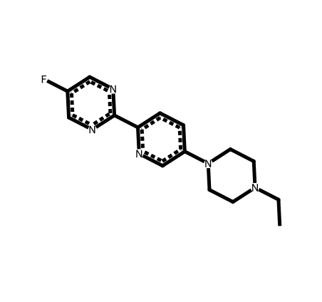 CCN1CCN(c2ccc(-c3ncc(F)cn3)nc2)CC1